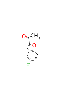 CC(=O)c1cc2cc(F)ccc2o1